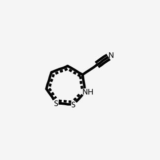 N#Cc1cccss[nH]1